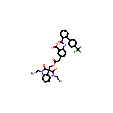 CCNC(=O)C(COC(=O)Cc1ccc(NC(=O)c2ccccc2-c2ccc(C(F)(F)F)cc2)c(C(=O)O)c1)(C(=O)NCC)c1ccccc1